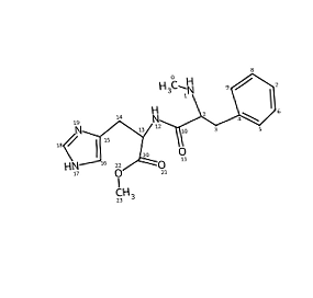 CNC(Cc1ccccc1)C(=O)NC(Cc1c[nH]cn1)C(=O)OC